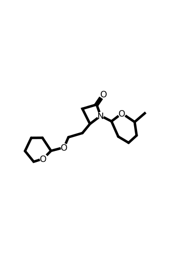 CC1CCCC(N2C(=O)CC2CCOC2CCCCO2)O1